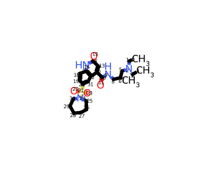 CCN(CC)CC(C)CNC(=O)c1cc(=O)[nH]c2ccc(S(=O)(=O)N3CCCCCC3)cc12